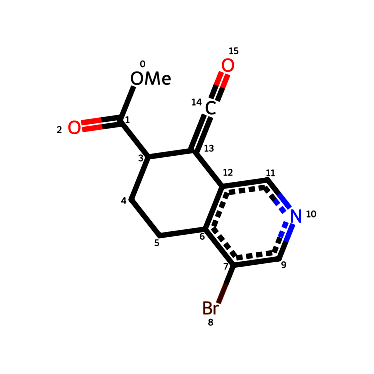 COC(=O)C1CCc2c(Br)cncc2C1=C=O